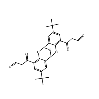 CC(C)(C)c1cc(C(=O)CC=O)c2c(c1)C1Oc3c(C(=O)CC=O)cc(C(C)(C)C)cc3C(O2)O1